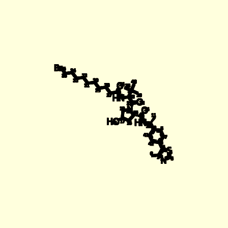 Cc1ncsc1-c1ccc([C@H](C)NC(=O)[C@@H]2C[C@@H](O)CN2C(=O)C(NC(=O)CCCCCCCCCBr)C(C)(C)C)cc1